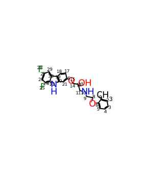 Cc1ccccc1OCCNCC(O)COc1ccc2c(c1)[nH]c1c(F)cc(F)cc12